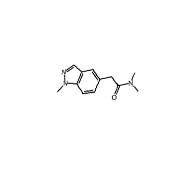 CN(C)C(=O)Cc1ccc2c(cnn2C)c1